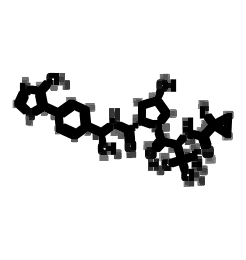 Cc1ncsc1-c1ccc([C@H](C)NC(=O)[C@@H]2C[C@@H](O)CN2C(=O)[C@@H](NC(=O)C2(F)CC2)C(C)(C)C)cc1